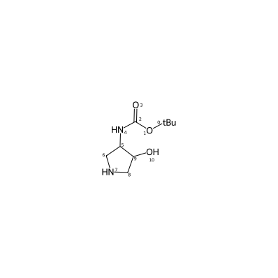 CC(C)(C)OC(=O)NC1CNCC1O